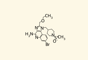 CCOCc1nc2c(N)nc3cc(Br)ccc3c2n1CC1CCN([S+](C)[O-])CC1